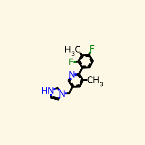 Cc1cc(CN2C=CNC2)cnc1-c1ccc(F)c(C)c1F